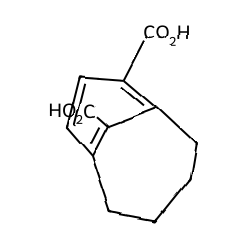 O=C(O)c1ccc2c(C(=O)O)c1CCCC2